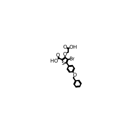 O=C(O)COc1c(C(=O)O)sc(-c2ccc(OCc3ccccc3)cc2)c1Br